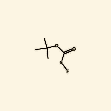 CC(C)(C)OC(=O)SF